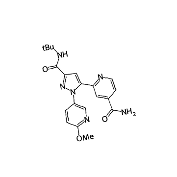 COc1ccc(-n2nc(C(=O)NC(C)(C)C)cc2-c2cc(C(N)=O)ccn2)cn1